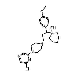 COc1ccc(C(CCN2CCN(c3cncc(Cl)n3)CC2)C2(O)CCCCC2)cc1